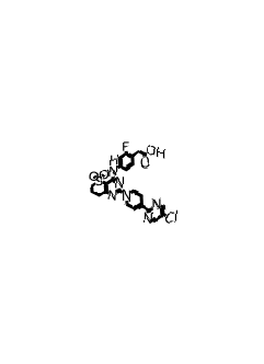 O=C(O)Cc1ccc(Nc2nc(N3CC=C(c4ncc(Cl)cn4)CC3)nc3c2S(=O)(=O)CCC3)cc1F